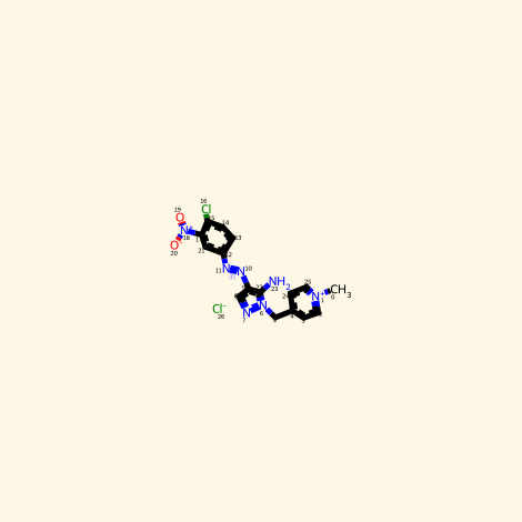 C[n+]1ccc(Cn2ncc(/N=N/c3ccc(Cl)c([N+](=O)[O-])c3)c2N)cc1.[Cl-]